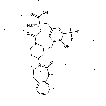 C[C@@](CC(=O)N1CCC(N2CCc3ccccc3NC2=O)CC1)(Cc1cc(Cl)c(O)c(C(F)(F)F)c1)C(=O)O